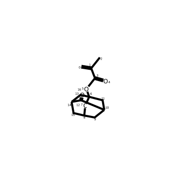 C=C(C)C(=O)OC12CC3CC(C1)C(=O)C(C3)C2